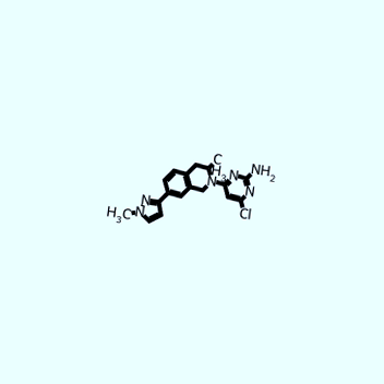 CC1Cc2ccc(-c3ccn(C)n3)cc2CN1c1cc(Cl)nc(N)n1